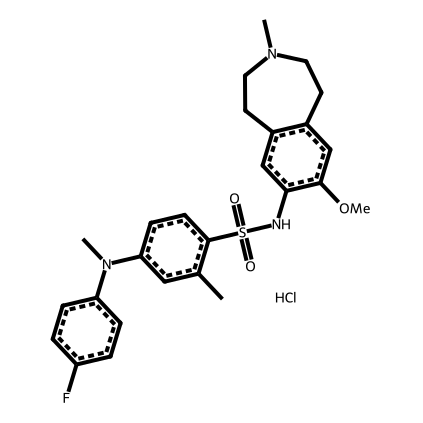 COc1cc2c(cc1NS(=O)(=O)c1ccc(N(C)c3ccc(F)cc3)cc1C)CCN(C)CC2.Cl